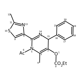 CCOC(=O)OC1=C(C)N(C(C)=O)C(c2csc(C)n2)=NC1c1ccccc1